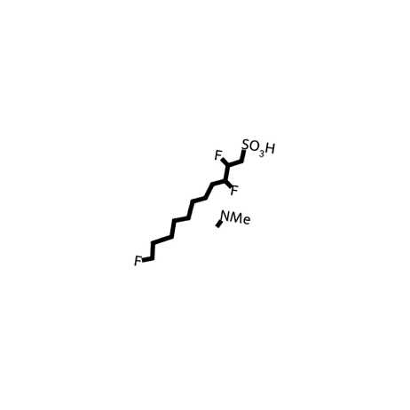 CNC.O=S(=O)(O)CC(F)C(F)CCCCCCCCF